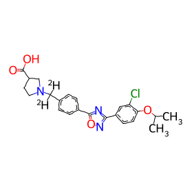 [2H]C([2H])(c1ccc(-c2nc(-c3ccc(OC(C)C)c(Cl)c3)no2)cc1)N1CCC(C(=O)O)C1